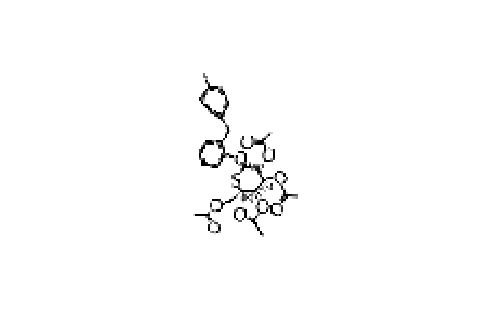 CC(=O)OC[C@H]1S[C@@H](Oc2ccccc2Cc2ccc(C)cc2)[C@H](OC(C)=O)[C@@H](OC(C)=O)[C@@H]1OC(C)=O